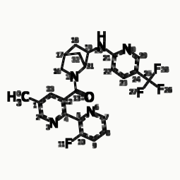 Cc1cnc(-c2ncccc2F)c(C(=O)N2CC3CC(Nc4ccc(C(F)(F)F)cn4)C2C3)c1